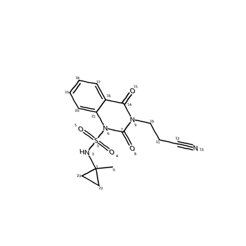 CC1(NS(=O)(=O)n2c(=O)n(CCC#N)c(=O)c3ccccc32)CC1